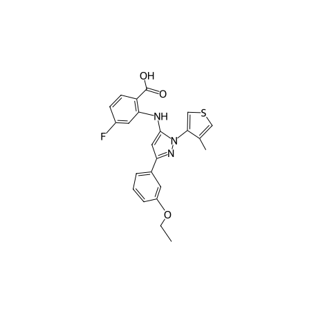 CCOc1cccc(-c2cc(Nc3cc(F)ccc3C(=O)O)n(-c3cscc3C)n2)c1